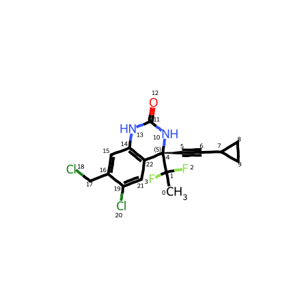 CC(F)(F)[C@@]1(C#CC2CC2)NC(=O)Nc2cc(CCl)c(Cl)cc21